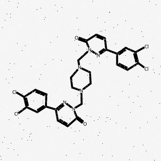 O=c1ccc(-c2ccc(Cl)c(Cl)c2)nn1CN1CCN(Cn2nc(-c3ccc(Cl)c(Cl)c3)ccc2=O)CC1